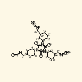 O=C=NCC1CCC(n2c(=O)n(C3CCCC(CN=C=O)C3)c(=O)n(C3CCCC(CN=C=O)C3)c2=O)CC1